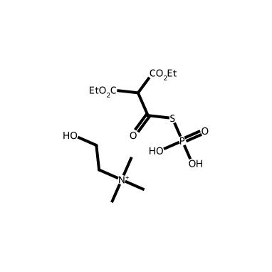 CCOC(=O)C(C(=O)OCC)C(=O)SP(=O)(O)O.C[N+](C)(C)CCO